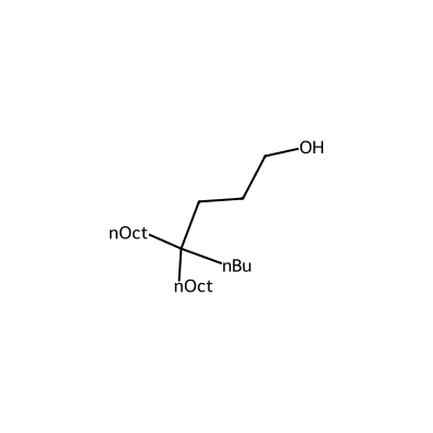 CCCCCCCCC(CCCC)(CCCO)CCCCCCCC